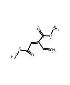 C=C/C(=C\C(=O)OC)C(=O)OC